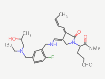 C\C=C/C=C1/C(=O)N(C(CCC=O)C(=O)NC)C/C1=C\NCc1cc(CN(CC(C)O)CC(C)(C)C)ccc1F